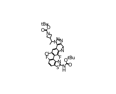 CC(C1CN(C(=O)OC(C)(C)C)C1)n1nnc2cnc3c(F)c(-c4c(F)ccc5sc(NC(=O)OC(C)(C)C)nc45)c(Cl)cc3c21